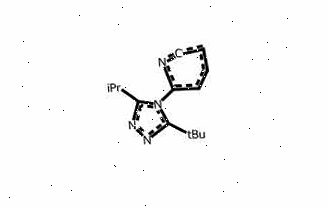 CC(C)c1nnc(C(C)(C)C)n1-c1ccccn1